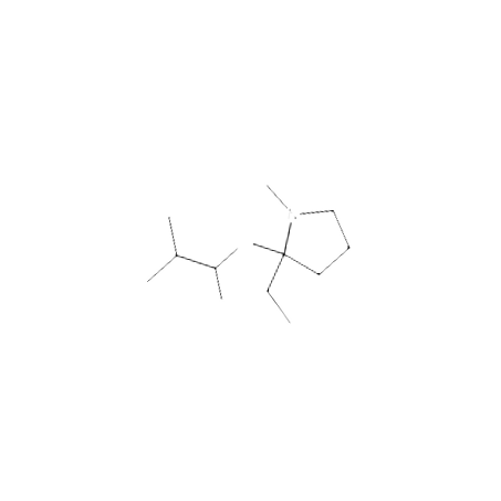 CCC1(OC(O)C(C)C)CCCN1C